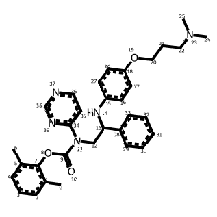 Cc1cccc(C)c1OC(=O)N(CC(Nc1ccc(OCCCN(C)C)cc1)c1ccccc1)c1ccncn1